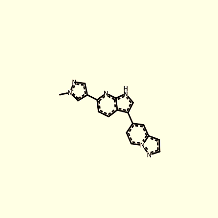 Cn1cc(-c2ccc3c(-c4ccn5nccc5c4)c[nH]c3n2)cn1